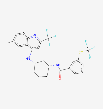 Cc1ccc2nc(C(F)(F)F)cc(N[C@H]3CCC[C@@H](NC(=O)c4cccc(SC(F)(F)F)c4)C3)c2c1